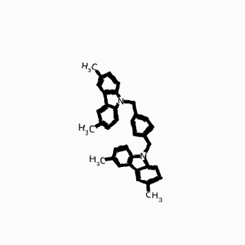 Cc1ccc2c(c1)c1cc(C)ccc1n2Cc1ccc(Cn2c3ccc(C)cc3c3cc(C)ccc32)cc1